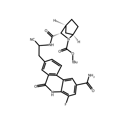 CC(C)(C)OC(=O)N1[C@@H]2CC[C@@H](C2)[C@H]1C(=O)NC(C#N)Cc1ccc2c(c1)c(=O)[nH]c1c(F)cc(C(N)=O)cc12